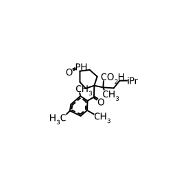 Cc1cc(C)c(C(=O)C2(C(C)(CCC(C)C)C(=O)O)CCCCC2)c(C)c1.O=P